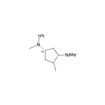 CCCN(C)[C@H]1CC(C)C(NC)C1